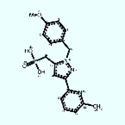 COc1ccc(Cn2nc(-c3cccc(C)n3)cc2CP(=O)(O)O)cc1